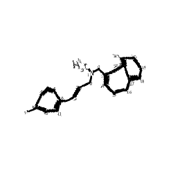 CN(C/C=C/c1ccc(I)cc1)Cc1cccc2ccccc12